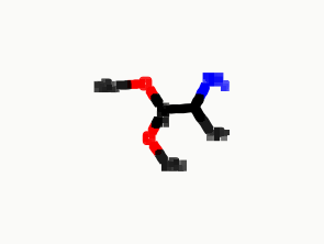 CCCCO[SiH](OCCCC)C(N)CCC